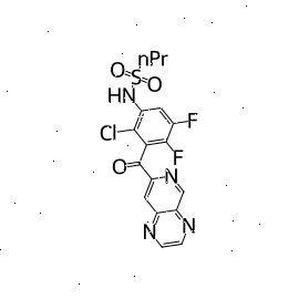 CCCS(=O)(=O)Nc1cc(F)c(F)c(C(=O)c2cc3nccnc3cn2)c1Cl